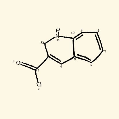 O=C(Cl)C1=Cc2ccccc2NC1